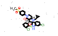 CS(=O)(=O)c1ccc(N2CC[C@H]3[C@@H](C2=O)[C@H](c2cccc(Cl)c2F)[C@]2(C(=O)Nc4cc(Cl)ccc42)N3CC2CC2)cc1